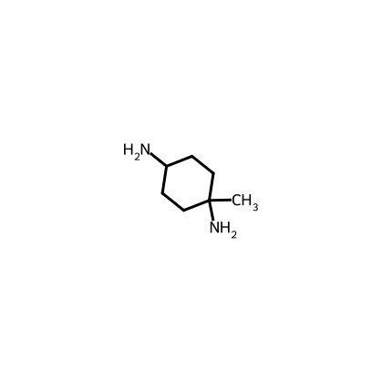 CC1(N)CCC(N)CC1